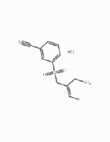 Cl.N#Cc1cccc(S(=O)(=O)C/C(=C/F)CN)c1